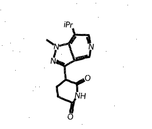 CC(C)c1cncc2c(C3CCC(=O)NC3=O)nn(C)c12